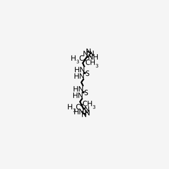 CC(C)(CCNC(=S)NCCCNC(=S)NCCC(C)(C)c1nnn[nH]1)c1nnn[nH]1